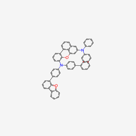 c1ccc(-c2ccc(N(c3ccc(-c4cccc5c4oc4ccccc45)cc3)c3cccc4c3Oc3cc(N(c5ccccc5)c5ccccc5)cc5cccc-4c35)cc2)cc1